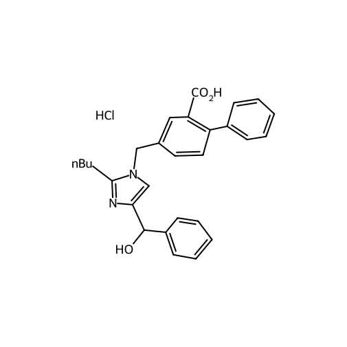 CCCCc1nc(C(O)c2ccccc2)cn1Cc1ccc(-c2ccccc2)c(C(=O)O)c1.Cl